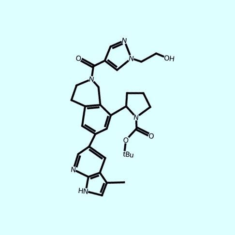 Cc1c[nH]c2ncc(-c3cc4c(c(C5CCCN5C(=O)OC(C)(C)C)c3)CN(C(=O)c3cnn(CCO)c3)CC4)cc12